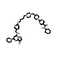 CCc1cnn2c(NCc3ccc(OCCCCN4CCN(CC5CCN(c6ncc(C(=O)NC7CCCCC7)cn6)CC5)CC4)nc3)cc(N3CCCCC3)nc12